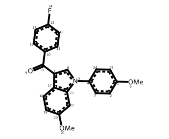 COc1ccc(-n2cc(C(=O)c3ccc(F)cc3)c3ccc(OC)cc32)cc1